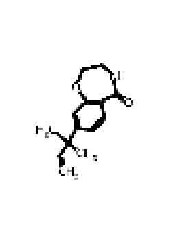 C=CC(C)(C)c1ccc2c(c1)OCCNC2=O